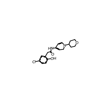 O=C(Cc1cc(Cl)ccc1O)NC1=CCN(C2CCOCC2)C=C1